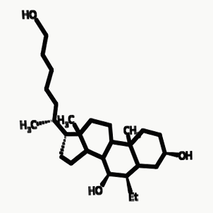 CC[C@@H]1C2C[C@H](O)CCC2(C)C2CCC3(C)C(CC[C@@H]3[C@H](C)CCCCCO)C2[C@@H]1O